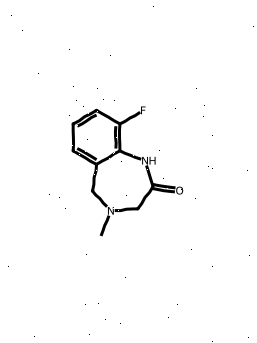 CN1CC(=O)Nc2c(F)cccc2C1